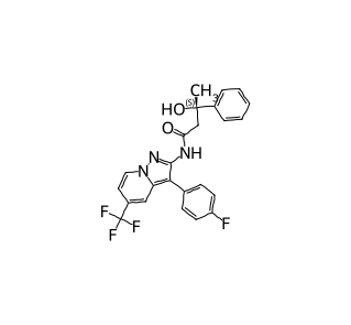 C[C@](O)(CC(=O)Nc1nn2ccc(C(F)(F)F)cc2c1-c1ccc(F)cc1)c1ccccc1